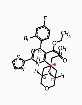 CCOC(=O)C1=C(CN2[C@@H]3COC[C@H]2C[C@H](CC(=O)O)C3)NC(c2nccs2)=N[C@H]1c1ccc(F)cc1Br